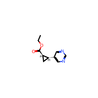 CCOC(=O)[C@@H]1C[C@H]1c1cncnc1